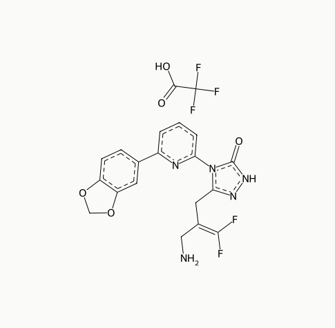 NCC(Cc1n[nH]c(=O)n1-c1cccc(-c2ccc3c(c2)OCO3)n1)=C(F)F.O=C(O)C(F)(F)F